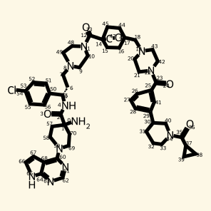 NC1(C(=O)N[C@@H](CCN2CCN(C(=O)C34CCC(CN5CCN(C(=O)c6cccc(C7CCCN(C(=O)C8CC8)C7)c6)CC5)(CC3)OC4)CC2)c2ccc(Cl)cc2)CCN(c2ncnc3[nH]ccc23)CC1